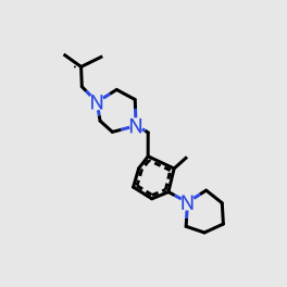 C[C](C)CN1CCN(Cc2cccc(N3CCCCC3)c2C)CC1